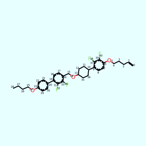 C=CCCCOc1ccc(C2CCC(OCc3ccc(-c4ccc(OCCCC)cc4)c(F)c3F)CC2)c(F)c1F